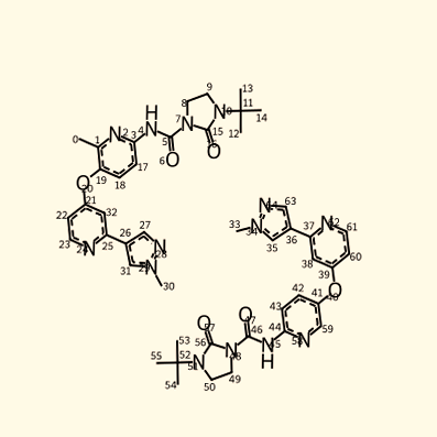 Cc1nc(NC(=O)N2CCN(C(C)(C)C)C2=O)ccc1Oc1ccnc(-c2cnn(C)c2)c1.Cn1cc(-c2cc(Oc3ccc(NC(=O)N4CCN(C(C)(C)C)C4=O)nc3)ccn2)cn1